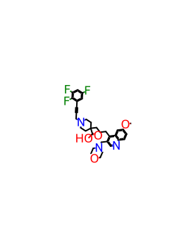 COc1ccc2ncc(CN3CCOCC3)c(CCCC3(C(=O)O)CCN(CC#Cc4cc(F)cc(F)c4F)CC3)c2c1